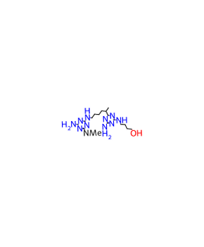 CNc1nc(N)nc(NCCCCC(C)c2nc(N)nc(NCCCCO)n2)n1